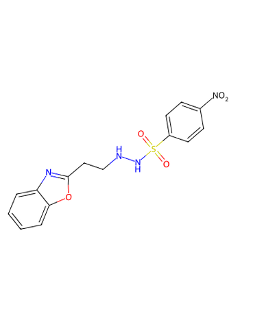 O=[N+]([O-])c1ccc(S(=O)(=O)NNCCc2nc3ccccc3o2)cc1